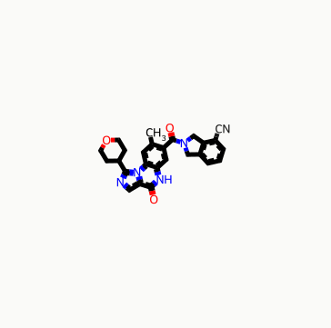 Cc1cc2c(cc1C(=O)N1Cc3cccc(C#N)c3C1)[nH]c(=O)c1cnc(C3CCOCC3)n12